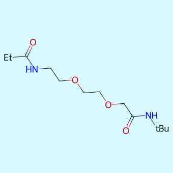 CCC(=O)NCCOCCOCC(=O)NC(C)(C)C